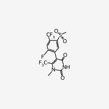 Cn1c(C(F)(F)F)c(-c2cc(S(C)(=O)=O)c(C(F)(F)F)cc2F)c(=O)[nH]c1=O